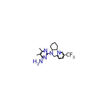 Cc1nc(N(Cc2ccc(C(F)(F)F)cn2)C2CCCCC2)nc(N)c1C